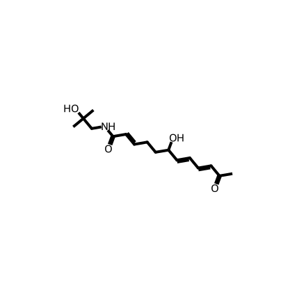 CC(=O)C=CC=CC(O)CCC=CC(=O)NCC(C)(C)O